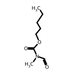 CCCCCOC(=O)N(C)[C]=O